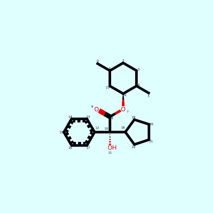 CC1CCC(C)[C@@H](OC(=O)[C@](O)(c2ccccc2)C2CCCC2)C1